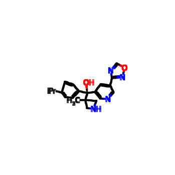 CC(C)c1ccc([C@](O)(c2cncc(-c3ncon3)c2)C2(C)CNC2)cc1